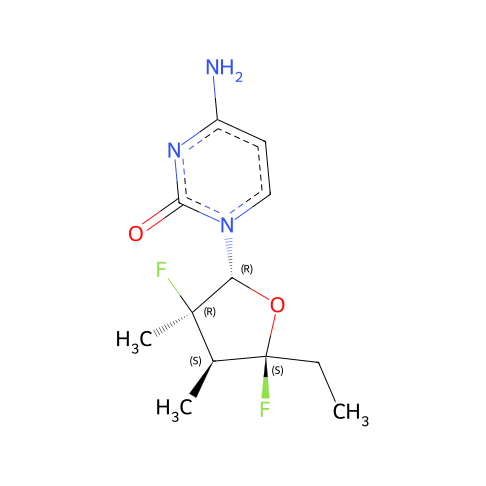 CC[C@@]1(F)O[C@@H](n2ccc(N)nc2=O)[C@](C)(F)[C@@H]1C